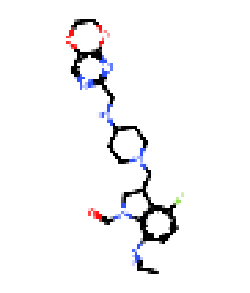 C/C=N\c1ccc(F)c2c1N(C=O)CC2CN1CCC(NCc2ncc3c(n2)OCCO3)CC1